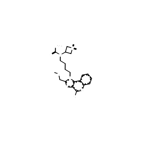 CCNCc1nc2c(N)nc3ccccc3c2n1CCCCN(C(=O)OC)C1CS(=O)(=O)C1